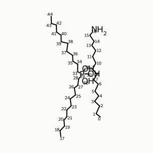 CCCCCCCCCCCCCCCCN.CCCCCCCCCCCCP(O)(O)(O)CCCCCCCCCCCC